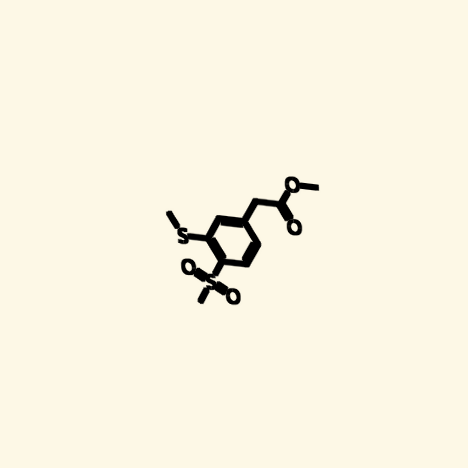 COC(=O)Cc1ccc(S(C)(=O)=O)c(SC)c1